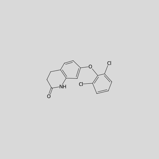 O=C1CCc2ccc(Oc3c(Cl)cccc3Cl)cc2N1